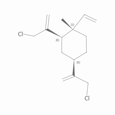 C=C[C@]1(C)CC[C@@H](C(=C)CCl)C[C@H]1C(=C)CCl